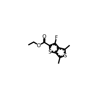 CCOC(=O)c1sc2c(C)sc(C)c2c1F